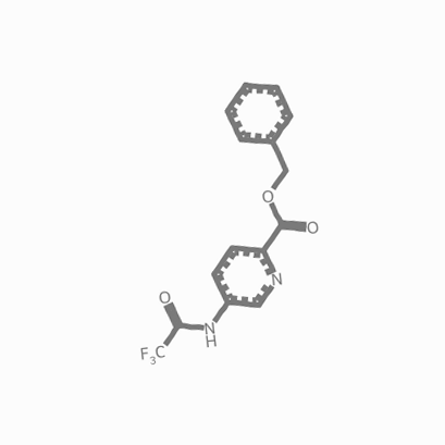 O=C(OCc1ccccc1)c1ccc(NC(=O)C(F)(F)F)cn1